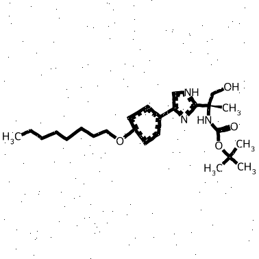 CCCCCCCCOc1ccc(-c2c[nH]c([C@](C)(CO)NC(=O)OC(C)(C)C)n2)cc1